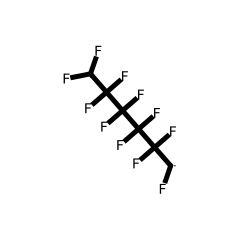 F[CH]C(F)(F)C(F)(F)C(F)(F)C(F)(F)[C](F)F